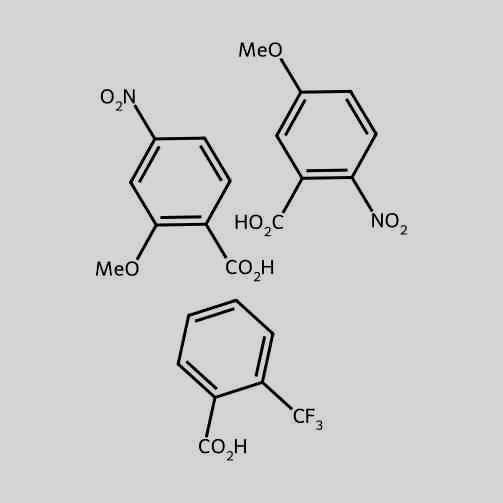 COc1cc([N+](=O)[O-])ccc1C(=O)O.COc1ccc([N+](=O)[O-])c(C(=O)O)c1.O=C(O)c1ccccc1C(F)(F)F